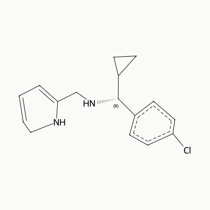 Clc1ccc([C@H](NCC2=CC=CCN2)C2CC2)cc1